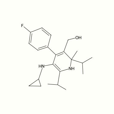 CC(C)C1=C(NC2CC2)C(c2ccc(F)cc2)=C(CO)C(C)(C(C)C)N1